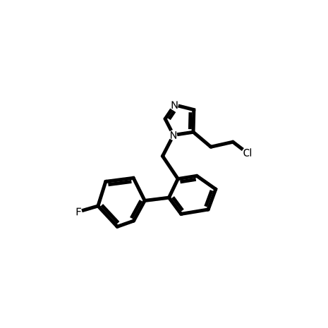 Fc1ccc(-c2ccccc2Cn2cncc2CCCl)cc1